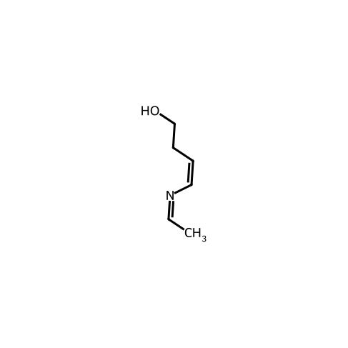 C/C=N\C=C/CCO